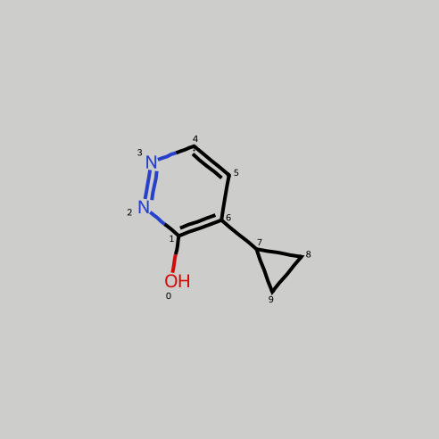 Oc1nn[c]cc1C1CC1